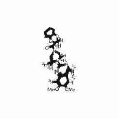 [2H]c1c(OC)c(OC)c([2H])c2c(N([2H])[2H])nc(N3C([2H])([2H])CN(C(=O)C4([2H])Oc5ccccc5OC4([2H])[2H])CC3([2H])[2H])nc12